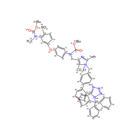 CCCc1nc(CN(C(=O)OC(C)(C)C)c2ccc(Oc3ccc([N+](=O)[O-])c(N(C)C(=O)OC(C)(C)C)c3)cc2)c(C(=O)OCC)n1Cc1ccc(-c2ccccc2-c2nnnn2C(c2ccccc2)(c2ccccc2)c2ccccc2)cc1